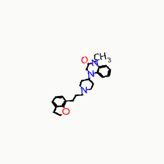 CN1C(=O)CN(C2CCN(CCCc3cccc4c3OCC4)CC2)c2ccccc21